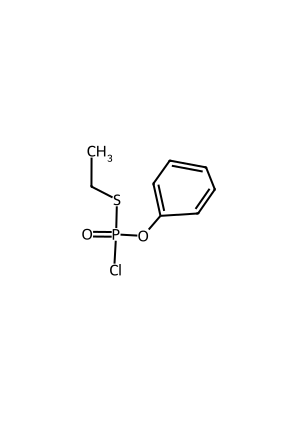 CCSP(=O)(Cl)Oc1ccccc1